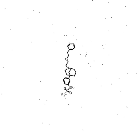 CS(=O)(=O)Nc1cccc(C23CCCC(C2)N(CCOCCc2ccccc2)CC3)c1